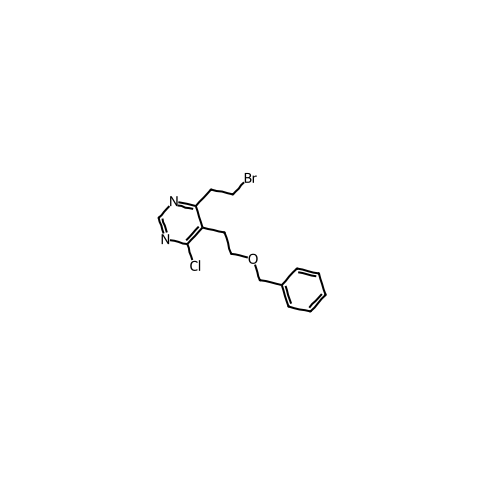 Clc1ncnc(CCBr)c1CCOCc1ccccc1